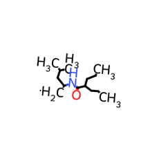 [CH2][C@@H](CC(C)C)NC(=O)C(CCC)CCC